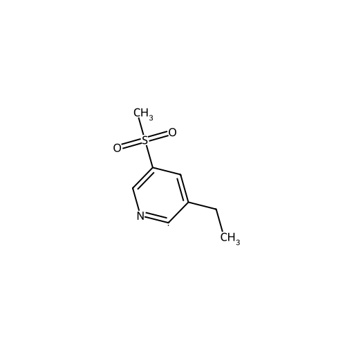 CCc1[c]ncc(S(C)(=O)=O)c1